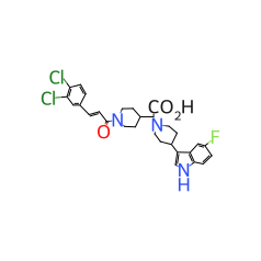 O=C(O)C(C1CCN(C(=O)C=Cc2ccc(Cl)c(Cl)c2)CC1)N1CCC(c2c[nH]c3ccc(F)cc23)CC1